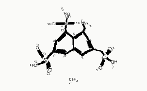 Nc1cc(S(=O)(=O)O)cc2cc(S(=O)(=O)O)cc(S(=O)(=O)O)c12.[CaH2]